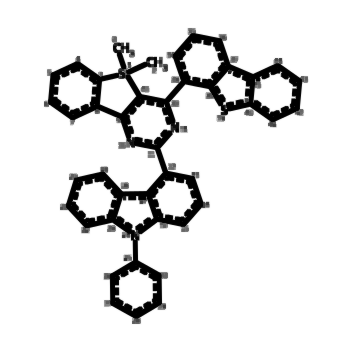 C[Si]1(C)c2ccccc2-c2nc(-c3cccc4c3c3ccccc3n4-c3ccccc3)nc(-c3cccc4c3sc3ccccc34)c21